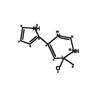 CC1(Cl)C=C(c2ccc[nH]2)N=CN1